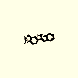 Cn1ncc2c1CCC(C1=CC3C=CC=CC3N1)=C2